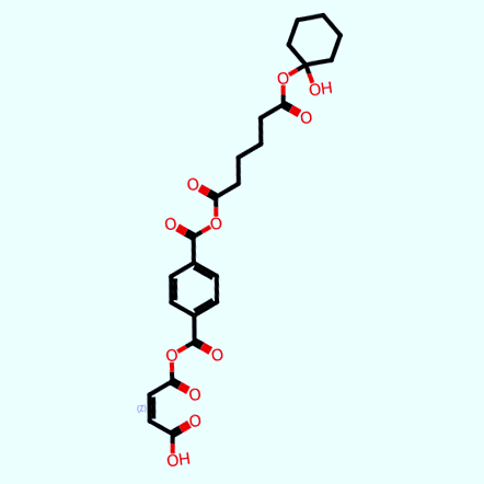 O=C(O)/C=C\C(=O)OC(=O)c1ccc(C(=O)OC(=O)CCCCC(=O)OC2(O)CCCCC2)cc1